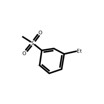 CCc1cc[c]c(S(C)(=O)=O)c1